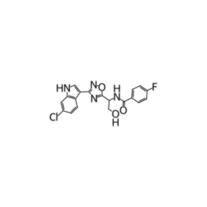 O=C(NC(CO)c1nc(-c2c[nH]c3cc(Cl)ccc23)no1)c1ccc(F)cc1